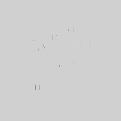 CC=CC[C@@H](C)C(=O)[C@H]([AsH]C)C(=O)O